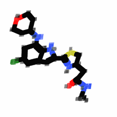 CNC(=O)CC1CSC(c2cc3cc(Cl)cc(NC4CCOCC4)c3[nH]2)=N1